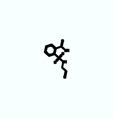 O=CCNS(=O)(=O)c1ccccc1C(=O)O